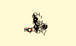 COc1ccc2[nH]c(-[n+]3cc(C)c(OC)c(C)c3CSSc3ncccn3)nc2c1.Cl.[Cl-]